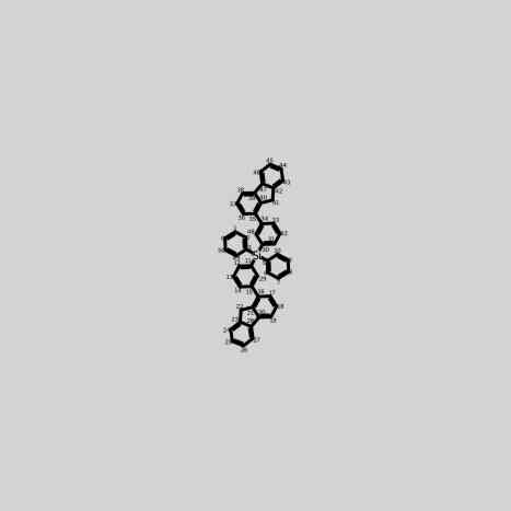 c1ccc([Si](c2ccccc2)(c2cccc(-c3cccc4c3Cc3ccccc3-4)c2)c2cccc(-c3cccc4c3Cc3ccccc3-4)c2)cc1